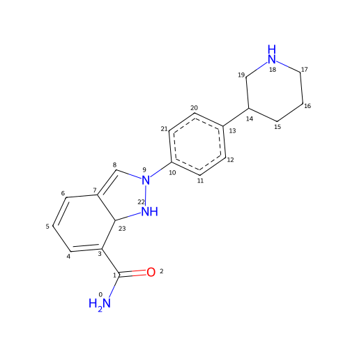 NC(=O)C1=CC=CC2=CN(c3ccc(C4CCCNC4)cc3)NC21